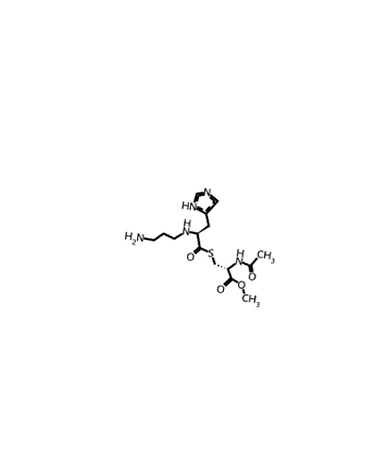 COC(=O)[C@H](CSC(=O)[C@H](Cc1cnc[nH]1)NCCCN)NC(C)=O